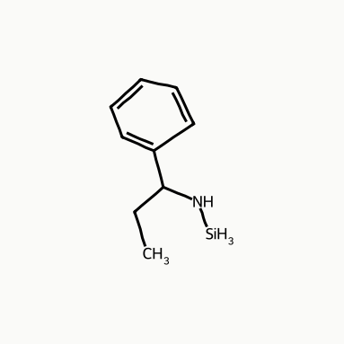 CCC(N[SiH3])c1ccccc1